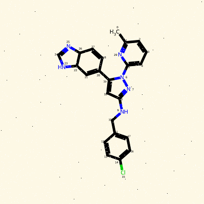 Cc1cccc(-n2nc(NCc3ccc(Cl)cc3)cc2C2=CC3NC=NC3C=C2)n1